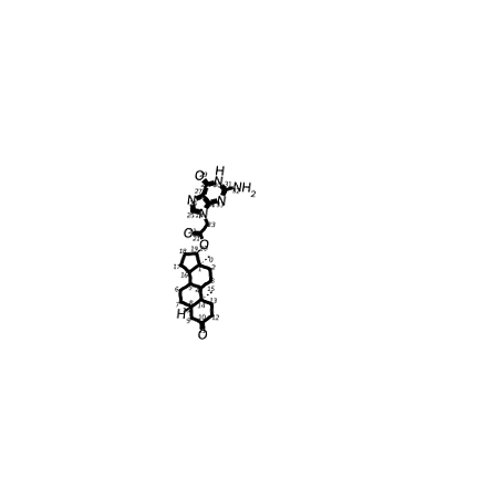 C[C@]12CCC3C(CC[C@H]4CC(=O)CC[C@]34C)C1CC[C@@H]2OC(=O)Cn1cnc2c(=O)[nH]c(N)nc21